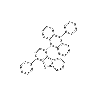 c1ccc(-c2c3ccccc3c(-c3ccc(-c4ccccc4)c4sc5ccccc5c34)c3ccccc23)cc1